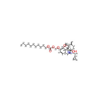 C=C1CC[C@@]2(O)C3CC4C=CC(OCOC(=O)OCCCCCCCCCCC)=C5O[C@@H]1[C@]2(CCN3CC1CC1)C54